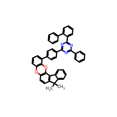 CC1(C)c2ccccc2-c2c1ccc1c2Oc2c(cccc2-c2ccc(-c3nc(-c4ccccc4)nc(-c4ccccc4-c4ccccc4)n3)cc2)O1